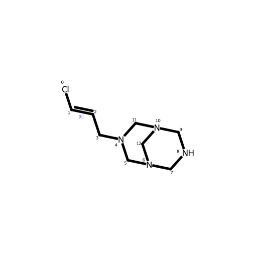 Cl/C=C/CN1CN2CNCN(C1)C2